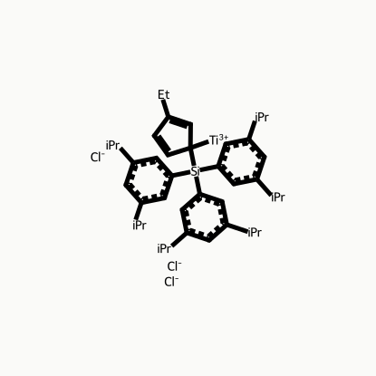 CCC1=C[C]([Ti+3])([Si](c2cc(C(C)C)cc(C(C)C)c2)(c2cc(C(C)C)cc(C(C)C)c2)c2cc(C(C)C)cc(C(C)C)c2)C=C1.[Cl-].[Cl-].[Cl-]